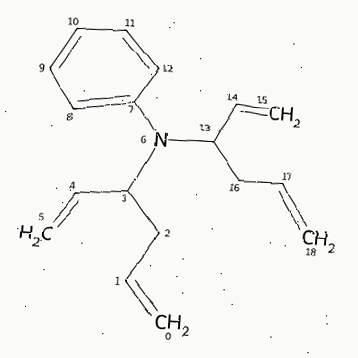 C=CCC(C=C)N(c1ccccc1)C(C=C)CC=C